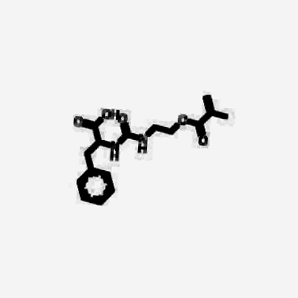 C=C(C)C(=O)OCCNC(=O)NC(Cc1ccccc1)C(=O)O